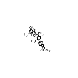 COCc1cc2nc(N3CC[C@@H](N(C)C(=O)Nc4cc(C(F)(F)F)cn(C)c4=O)C[C@H]3C)cnc2[nH]1